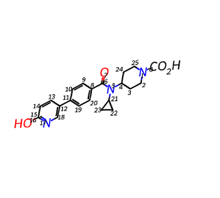 O=C(O)N1CCC(N(C(=O)c2ccc(-c3ccc(O)nc3)cc2)C2CC2)CC1